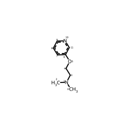 CN(C)CCOc1cccnc1